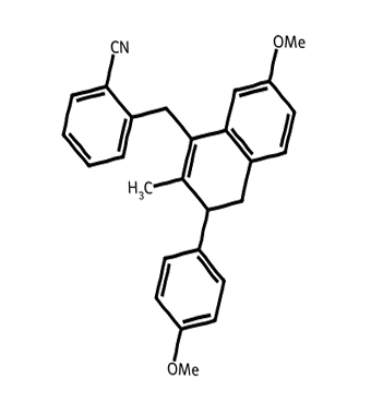 COc1ccc(C2Cc3ccc(OC)cc3C(Cc3ccccc3C#N)=C2C)cc1